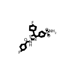 NS(=O)(=O)c1ccc(-c2nc(NC(=O)c3ccc(F)cc3)sc2-c2ccc(F)cc2)cc1